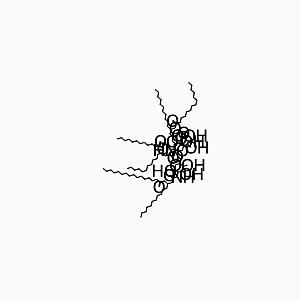 CCCCCCCCCCCCCCCC(=O)C[C@H](CCCCCCCCCCC)CC(=O)NC1C(O)OC(COC2OC(CO)C(OP(=O)(O)O)C(OC(=O)C[C@@H](CCCCCCCCCCC)OC(=O)CCCCCCCCCCCCC)C2NC(=O)C[C@@H](CCCCCCCCCCC)OC(=O)CCCCCCCCCCC)C(O)C1O